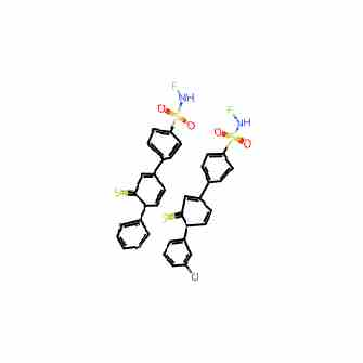 O=S(=O)(NF)c1ccc(C2=CC(=S)C(c3cccc(Cl)c3)C=C2)cc1.O=S(=O)(NF)c1ccc(C2=CC(=S)C(c3ccccc3)C=C2)cc1